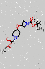 CCOC(=O)CN1CCC(OC2CN(C(=O)OC(C)(C)C)C2)CC1